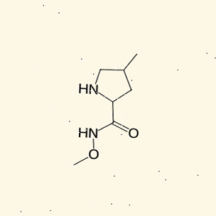 CONC(=O)C1CC(C)CN1